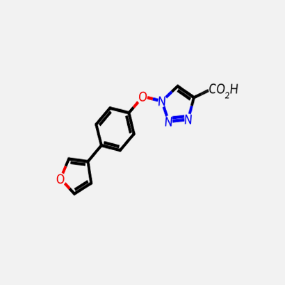 O=C(O)c1cn(Oc2ccc(-c3ccoc3)cc2)nn1